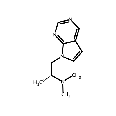 C[C@H](Cn1ccc2cncnc21)N(C)C